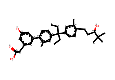 CCC(CC)(c1ccc(CCC(O)C(C)(C)C)c(C)c1)c1ccc(-c2cc(O)cc(CC(=O)O)c2)c(C)c1